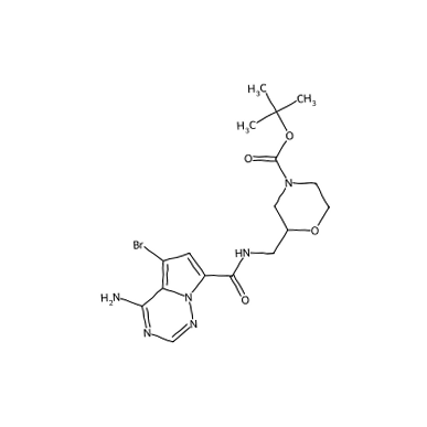 CC(C)(C)OC(=O)N1CCOC(CNC(=O)c2cc(Br)c3c(N)ncnn23)C1